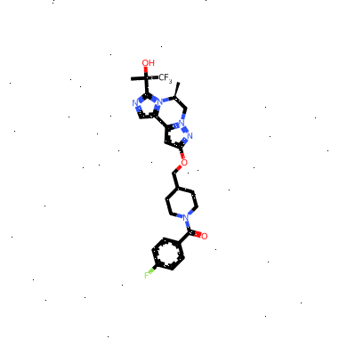 C[C@H]1Cn2nc(OCC3CCN(C(=O)c4ccc(F)cc4)CC3)cc2-c2cnc(C(C)(O)C(F)(F)F)n21